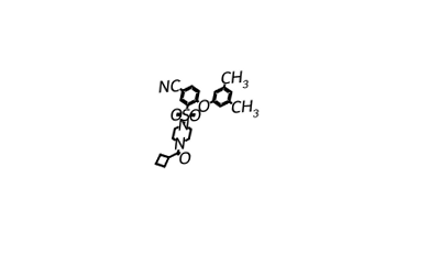 Cc1cc(C)cc(Oc2ccc(C#N)cc2S(=O)(=O)N2CCN(C(=O)C3CCC3)CC2)c1